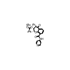 CC(C)N1C[C@@H](CN(C)C(=O)OC(C)(C)C)Oc2c(C(=O)Nc3ccncc3)cccc2C1=O